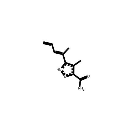 C=C/C=C(\C)c1[nH]nc(C(N)=O)c1C